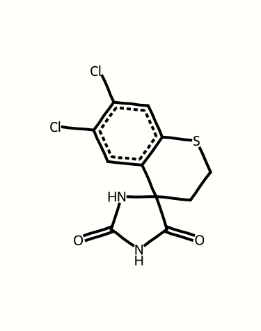 O=C1NC(=O)C2(CCSc3cc(Cl)c(Cl)cc32)N1